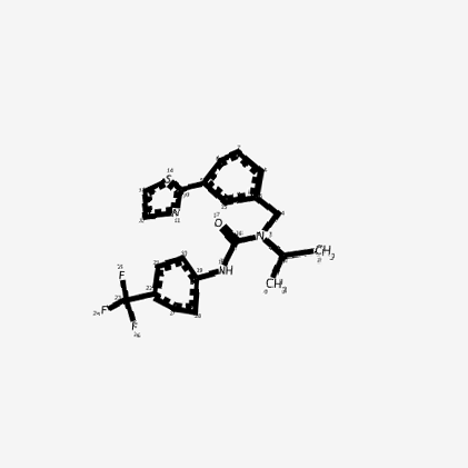 CC(C)N(Cc1cccc(-c2nccs2)c1)C(=O)Nc1ccc(C(F)(F)F)cc1